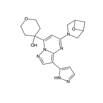 OC1(c2cc(N3CC4CC(C3)O4)nc3c(-c4ccn[nH]4)cnn23)CCOCC1